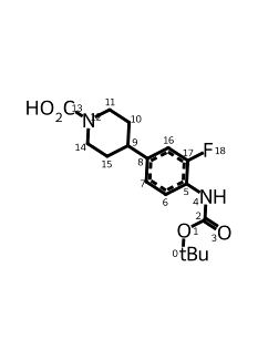 CC(C)(C)OC(=O)Nc1ccc(C2CCN(C(=O)O)CC2)cc1F